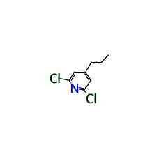 CCCc1cc(Cl)nc(Cl)c1